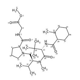 COC(=O)CNC(=O)C1CCCN1C[C@H](C(C)C)N(C)C(=O)[C@@H](NC(=O)C1CCCCN1C)C(C)(C)C